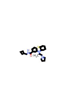 C[C@H](CN1CCCC1)N1c2ccccc2Sc2ccc(C(=O)NCC3CCC3)cc21